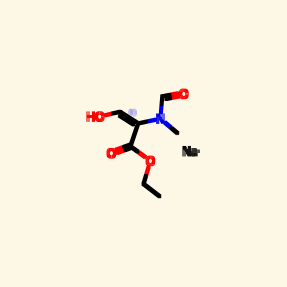 CCOC(=O)/C(=C\O)N(C)C=O.[Na]